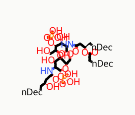 CCCCCCCCCCCC(=O)O[C@H](CCCCCCCCCCC)CC(=O)N[C@H]1[C@H](OCC2O[C@H](OP(=O)(O)O)C(NC(=O)C[C@H](O)CCCCCCCCCCC)[C@@H](O)[C@@H]2O)OC(CO)[C@@H](OP(=O)(O)O)[C@@H]1O